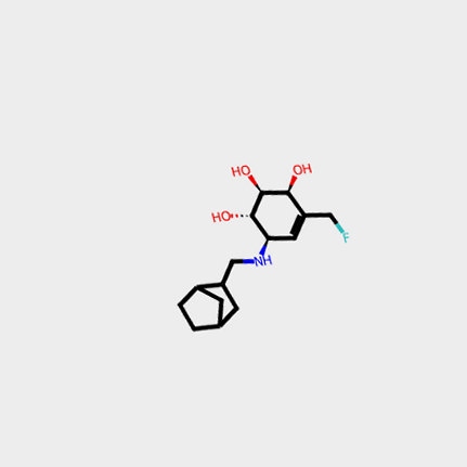 O[C@@H]1[C@@H](O)[C@@H](O)C(CF)=C[C@H]1NCC1CC2CCC1C2